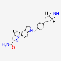 Cc1cc(C(N)=O)nn1-c1ccc2c(ccn2Cc2ccc(C3C[C@H]4CNC[C@H]4C3)cc2)c1